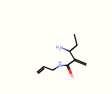 C=CCNC(=O)C(=C)C(N)CC